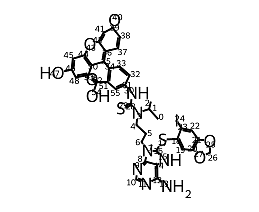 CC(C)N(CCCN1c2ncnc(N)c2NC1Sc1cc2c(cc1I)OCO2)C(=S)Nc1ccc(-c2c3ccc(=O)cc-3oc3cc(O)ccc23)c(C(=O)O)c1